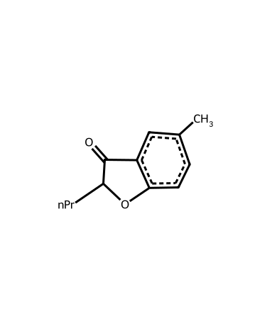 CCCC1Oc2ccc(C)cc2C1=O